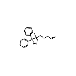 C=CCCCC(C)(C)[Si](O)(c1ccccc1)c1ccccc1